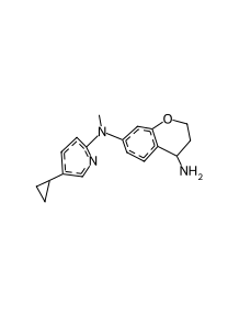 CN(c1ccc2c(c1)OCCC2N)c1ccc(C2CC2)cn1